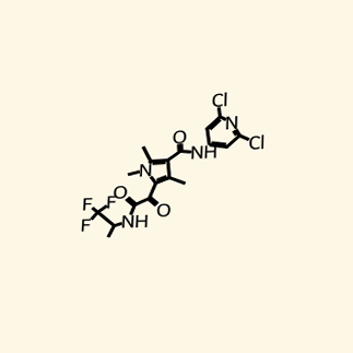 Cc1c(C(=O)Nc2cc(Cl)nc(Cl)c2)c(C)n(C)c1C(=O)C(=O)NC(C)C(F)(F)F